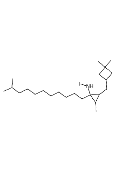 CC(C)CCCCCCCCCC1(NI)C(C)C1CC1CC(C)(C)C1